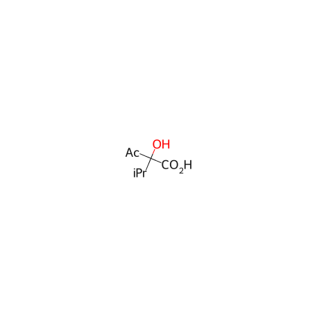 CC(=O)C(O)(C(=O)O)C(C)C